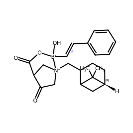 CC1(C)C2C[C@H]1CCC2C[N+]12CC(=O)C(C1)C(=O)O[B-]2(O)/C=C/c1ccccc1